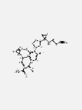 COc1c(N2CCC(C3(NCCC#N)CC3)C2)c(F)cc2c(=O)c(C(=O)O)cn(C3CC3)c12